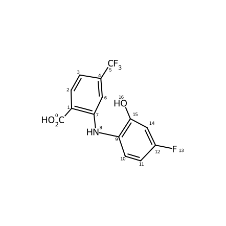 O=C(O)c1ccc(C(F)(F)F)cc1Nc1ccc(F)cc1O